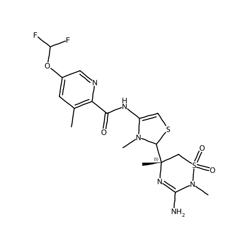 Cc1cc(OC(F)F)cnc1C(=O)NC1=CSC([C@]2(C)CS(=O)(=O)N(C)C(N)=N2)N1C